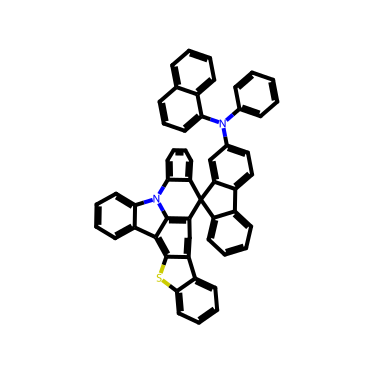 c1ccc(N(c2ccc3c(c2)C2(c4ccccc4-3)c3ccccc3-n3c4ccccc4c4c5sc6ccccc6c5cc2c43)c2cccc3ccccc23)cc1